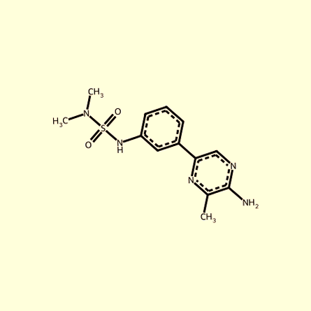 Cc1nc(-c2cccc(NS(=O)(=O)N(C)C)c2)cnc1N